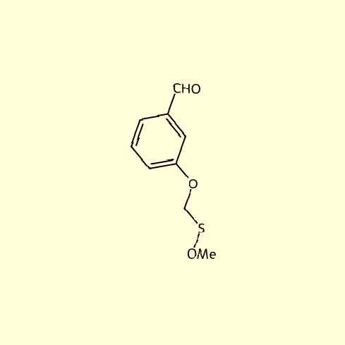 COSCOc1cccc(C=O)c1